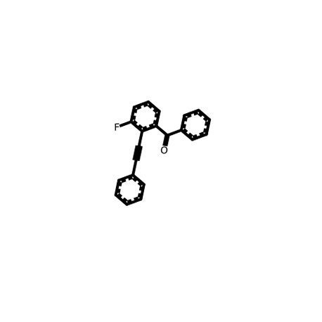 O=C(c1ccccc1)c1cccc(F)c1C#Cc1ccccc1